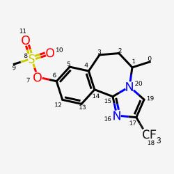 CC1CCc2cc(OS(C)(=O)=O)ccc2-c2nc(C(F)(F)F)cn21